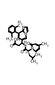 Cc1ccn([C@@H](CC(C)C)C(=O)NC(CC(=O)O)c2cc(-c3c(C)cccc3C)c3nccn3c2)c(=O)c1